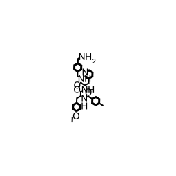 CCOc1ccc(CC(NC(=O)c2ccc(C)cc2)C(=O)NC(Cc2cccnc2)C(=O)NCc2ccc(CN)cc2)cc1